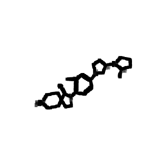 Cc1cc(N2CC[C@@H](N3CCC[C@H]3C)C2)ccc1N1CCC2(CCNCC2)C1=O